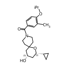 Cc1cc(C(=O)N2CCC3(CC2)C[C@@H](O)C[C@@H](C2CC2)O3)ccc1OC(C)C